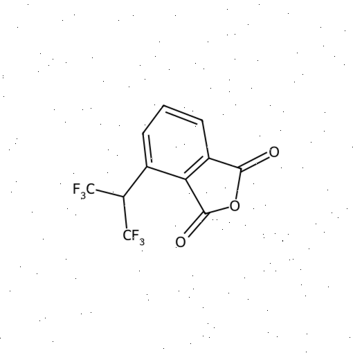 O=C1OC(=O)c2c1cccc2C(C(F)(F)F)C(F)(F)F